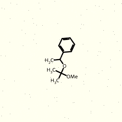 [CH2]C(OC(C)(C)OC)c1ccccc1